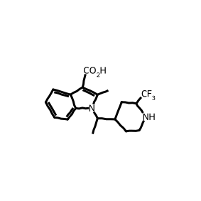 Cc1c(C(=O)O)c2ccccc2n1C(C)C1CCNC(C(F)(F)F)C1